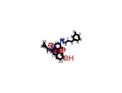 Cc1cccc(CCCN(C)C2CC[C@@]3(O)[C@H]4Cc5ccc(O)c6c5[C@@]3(CC[N+]4([O-])CC3CC3)C2O6)c1